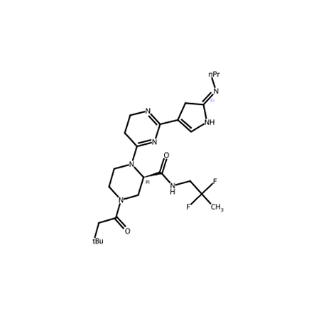 CCC/N=C1\CC(C2=NCCC(N3CCN(C(=O)CC(C)(C)C)C[C@@H]3C(=O)NCC(C)(F)F)=N2)=CN1